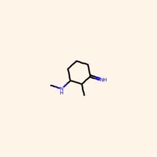 CNC1CCCC(=N)C1C